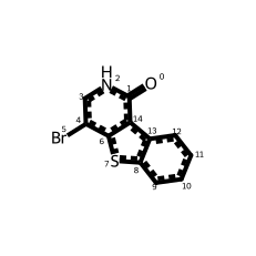 O=c1[nH]cc(Br)c2sc3ccccc3c12